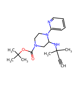 C#CC(C)(C)NC1CN(C(=O)OC(C)(C)C)CCN1c1ccccn1